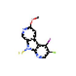 COc1cc2c3c(I)c(F)cnc3n(S)c2cn1